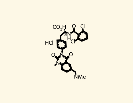 CNCc1ccc2c(c1)c(=O)n(-c1ccc(C[C@H](NC(=O)c3c(Cl)cccc3Cl)C(=O)O)cc1)c(=O)n2C.Cl